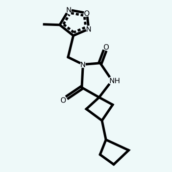 Cc1nonc1CN1C(=O)NC2(CC(C3CCC3)C2)C1=O